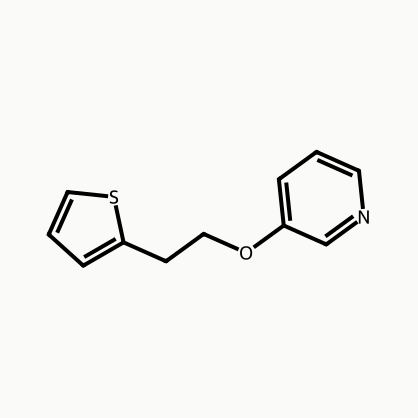 c1cncc(OCCc2cccs2)c1